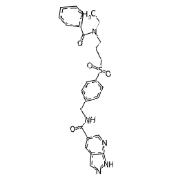 CCN(CCCS(=O)(=O)c1ccc(CNC(=O)c2cnc3[nH]ncc3c2)cc1)C(=O)c1ccccc1